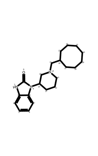 O=c1[nH]c2ccccc2n1C1CCCN(CC2CCCCCCC2)C1